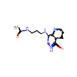 CC(=O)NCCCNc1n[nH]c(=O)c2cccnc12